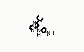 CCC(CC)c1cc(N[C@H]2CC[C@H](NC)C2)n2nccc2n1